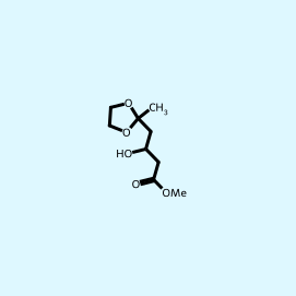 COC(=O)CC(O)CC1(C)OCCO1